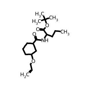 C=CCOC1CCCC(C(=O)NC(CCC)C(=O)OC(C)(C)C)C1